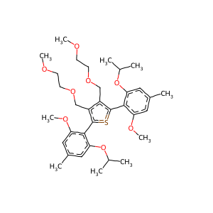 COCCOCc1c(-c2c(OC)cc(C)cc2OC(C)C)sc(-c2c(OC)cc(C)cc2OC(C)C)c1COCCOC